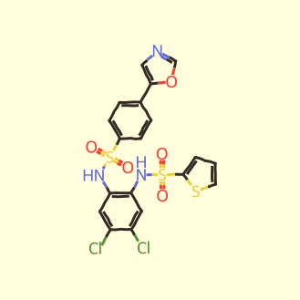 O=S(=O)(Nc1cc(Cl)c(Cl)cc1NS(=O)(=O)c1cccs1)c1ccc(-c2cnco2)cc1